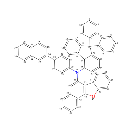 c1ccc(C2(c3ccccc3)c3ccccc3-c3c(N(c4ccc(-c5ccc6ccccc6c5)cc4)c4cc5ccccc5c5oc6ccccc6c45)cccc32)cc1